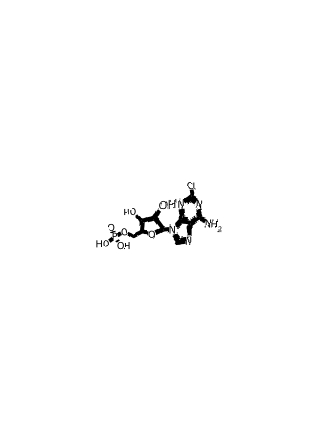 Nc1nc(Cl)nc2c1ncn2C1OC(COP(=O)(O)O)C(O)C1O